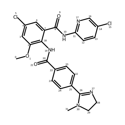 COc1cc(Cl)cc(C(=O)Nc2ccc(Cl)cn2)c1NC(=O)c1ccc(C2=NCCN2C)cc1